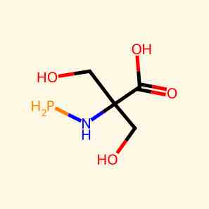 O=C(O)C(CO)(CO)NP